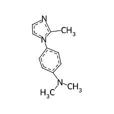 Cc1nccn1-c1ccc(N(C)C)cc1